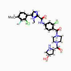 COc1ccc(-c2cnc(C(=O)Nc3ccc(C(=O)N4CCN(C(=O)[C@H]5C[C@@H](O)CN5)CC4)c(Cl)c3)n2C)c(Cl)c1F